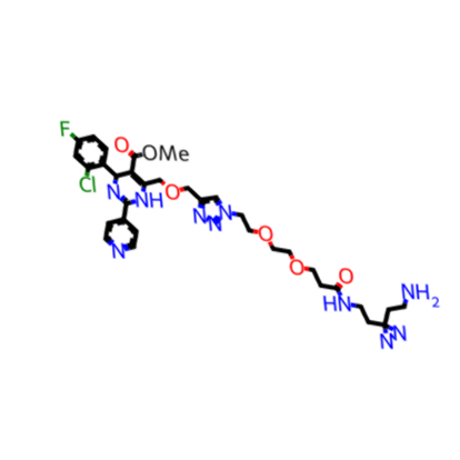 COC(=O)C1=C(COCc2cn(CCOCCOCCC(=O)NCCC3(CCN)N=N3)nn2)NC(c2ccncc2)=NC1c1ccc(F)cc1Cl